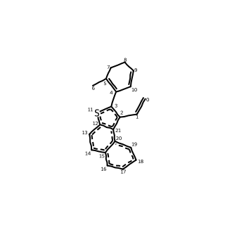 C=Cc1c(C2=C(C)CCC=C2)sc2ccc3ccccc3c12